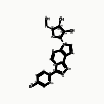 OC[C@H]1O[C@@H](n2cnc3c2ncn2c(-c4ccc(Br)cn4)nnc32)[C@H](O)[C@@H]1O